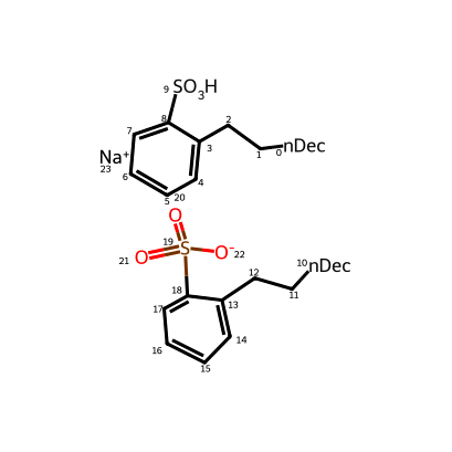 CCCCCCCCCCCCc1ccccc1S(=O)(=O)O.CCCCCCCCCCCCc1ccccc1S(=O)(=O)[O-].[Na+]